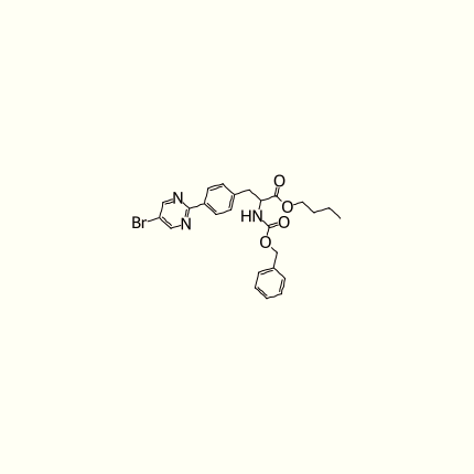 CCCCOC(=O)C(Cc1ccc(-c2ncc(Br)cn2)cc1)NC(=O)OCc1ccccc1